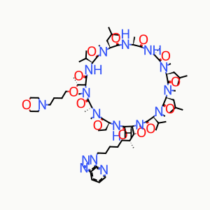 CC[C@@H]1NC(=O)[C@@H]2[C@@H]([C@H](C)CCCCCn3nnc4cccnc43)ON2C(=O)[C@H](C(C)C)N(C)C(=O)[C@H](CC(C)C)N(C)C(=O)[C@H](CC(C)C)N(C)C(=O)[C@@H](C)NC(=O)[C@H](C)NC(=O)[C@H](CC(C)C)N(C)C(=O)[C@H](C(C)C)NC(=O)[C@H]([C@@H](C)OCCCCN2CCOCC2)N(C)C(=O)[C@@H](C)N(C)C1=O